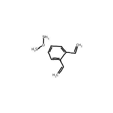 C=Cc1ccccc1C=C.[SiH3]O[SiH3]